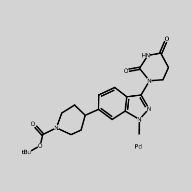 Cn1nc(N2CCC(=O)NC2=O)c2ccc(C3CCN(C(=O)OC(C)(C)C)CC3)cc21.[Pd]